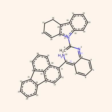 C=C(/N=C1/C=CC=C/C1=C(/N)c1ccc2c3c(cccc13)-c1ccccc1-2)n1c2c(c3ccccc31)CCC=C2